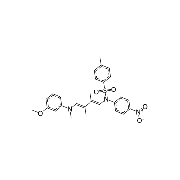 COc1cccc(N(C)/C=C(C)/C(C)=C/N(c2ccc([N+](=O)[O-])cc2)S(=O)(=O)c2ccc(C)cc2)c1